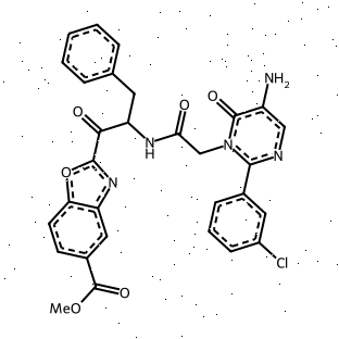 COC(=O)c1ccc2oc(C(=O)C(Cc3ccccc3)NC(=O)Cn3c(-c4cccc(Cl)c4)ncc(N)c3=O)nc2c1